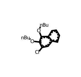 CCCCOc1c(Cl)cc2ccccc2c1OCCCC